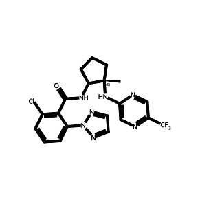 C[C@]1(Nc2cnc(C(F)(F)F)cn2)CCCC1NC(=O)c1c(Cl)cccc1-n1nccn1